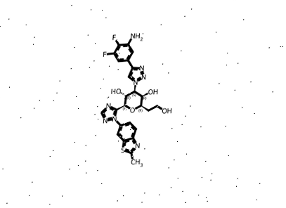 Cc1nc2ccc(-n3ncnc3[C@@H]3O[C@H](CCO)[C@H](O)[C@H](n4cc(-c5cc(N)c(F)c(F)c5)nn4)[C@H]3O)cc2s1